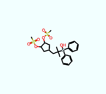 CC(C)(CC1CC(OS(C)(=O)=O)C(OS(C)(=O)=O)C1)[Si](O)(c1ccccc1)c1ccccc1